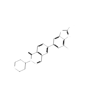 Cc1nc2c(F)cc(-c3ccc4c(=O)n(C5CCNCC5)ncc4c3)cc2s1